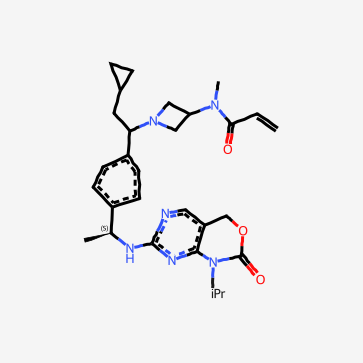 C=CC(=O)N(C)C1CN(C(CC2CC2)c2ccc([C@H](C)Nc3ncc4c(n3)N(C(C)C)C(=O)OC4)cc2)C1